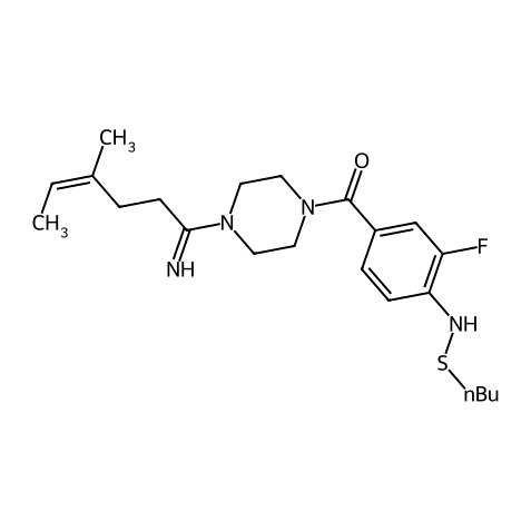 C/C=C(/C)CCC(=N)N1CCN(C(=O)c2ccc(NSCCCC)c(F)c2)CC1